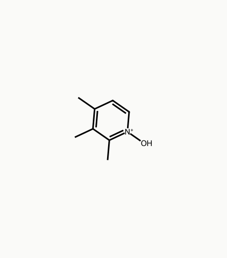 Cc1cc[n+](O)c(C)c1C